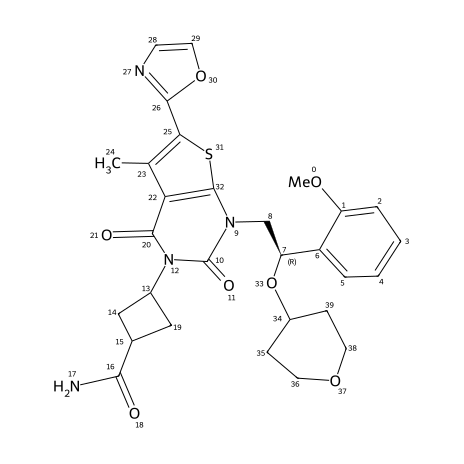 COc1ccccc1[C@H](Cn1c(=O)n(C2CC(C(N)=O)C2)c(=O)c2c(C)c(-c3ncco3)sc21)OC1CCOCC1